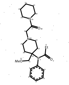 CCC(=O)N(c1ccccc1)C1(COC)CCN(CC(=O)N2CCCCC2)CC1